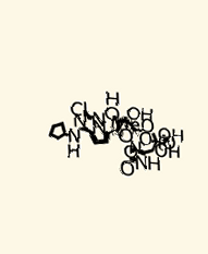 COCC(Cc1noc(=O)[nH]1)(OC[C@H]1O[C@@H](c2ccc3c(NC4CCCC4)nc(Cl)nn23)[C@H](O)[C@@H]1O)P(=O)(O)O